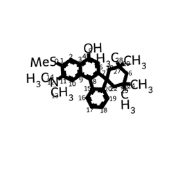 CSc1cc2c(O)cc3c(c2cc1N(C)C)-c1ccccc1C31CC(C)(C)CC(C)(C)C1